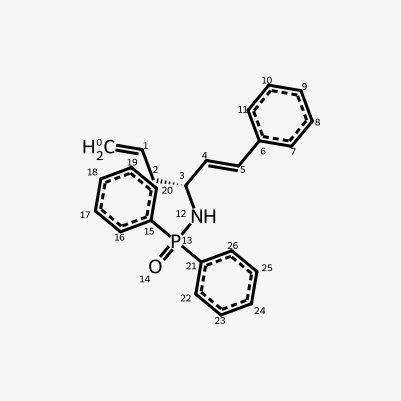 C=CC[C@H](/C=C/c1ccccc1)NP(=O)(c1ccccc1)c1ccccc1